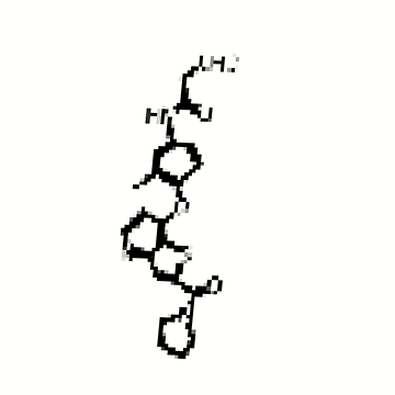 O=CCC(=O)Nc1ccc(Oc2ccnc3cc(C(=O)N4CCCC4)sc23)c(F)c1